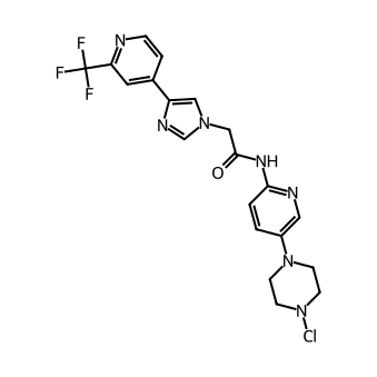 O=C(Cn1cnc(-c2ccnc(C(F)(F)F)c2)c1)Nc1ccc(N2CCN(Cl)CC2)cn1